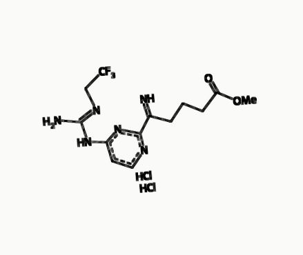 COC(=O)CCCC(=N)c1nccc(NC(N)=NCC(F)(F)F)n1.Cl.Cl